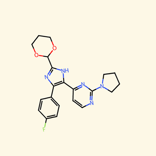 Fc1ccc(-c2nc(C3OCCCO3)[nH]c2-c2ccnc(N3CCCC3)n2)cc1